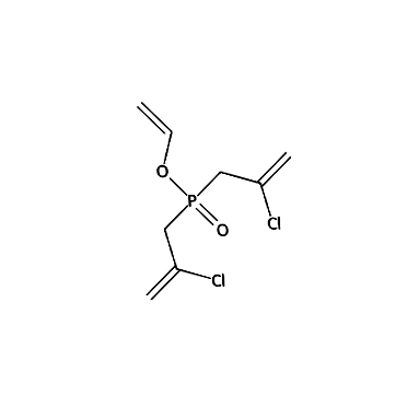 C=COP(=O)(CC(=C)Cl)CC(=C)Cl